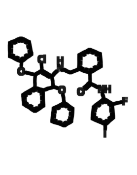 O=C(Nc1ccc(I)cc1F)c1ccccc1CNC1=C(Cl)C(Oc2ccccc2)c2ccccc2C1Oc1ccccc1